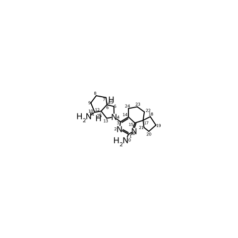 Nc1nc(N2C[C@@H]3CCC[C@H](N)[C@@H]3C2)c2c(n1)C1(CCCC1)CCC2